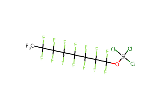 FC(F)(F)C(F)(F)C(F)(F)C(F)(F)C(F)(F)C(F)(F)C(F)(F)C(F)(F)O[Si](Cl)(Cl)Cl